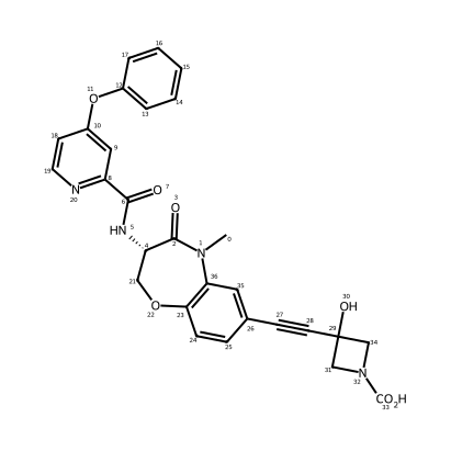 CN1C(=O)[C@@H](NC(=O)c2cc(Oc3ccccc3)ccn2)COc2ccc(C#CC3(O)CN(C(=O)O)C3)cc21